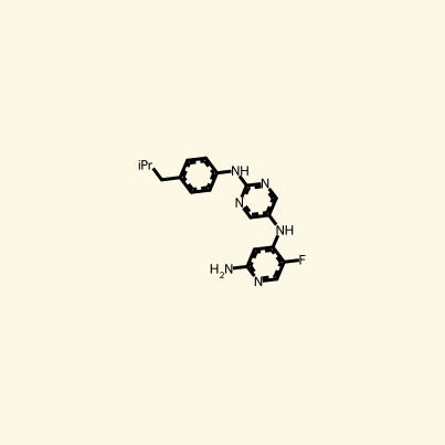 CC(C)Cc1ccc(Nc2ncc(Nc3cc(N)ncc3F)cn2)cc1